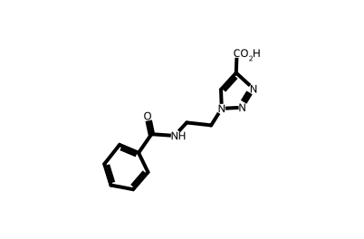 O=C(NCCn1cc(C(=O)O)nn1)c1ccccc1